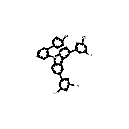 N#Cc1ccc(-c2ccccc2-n2c3ccc(-c4cc(C#N)cc(C#N)c4)cc3c3cc(-c4cc(C#N)cc(C#N)c4)ccc32)cc1